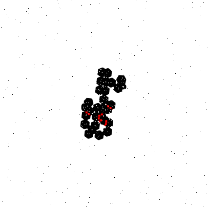 c1ccc(-c2cccc(-c3c4ccccc4c(-c4cccc(-c5cccc(-c6cccc(-c7cccc(-c8c9ccccc9c(-c9ccc(-c%10ccc(-c%11c%12ccccc%12c(-c%12cccc%13ccccc%12%13)c%12ccc(-c%13cccc%14sc%15ccccc%15c%13%14)cc%11%12)c%11ccccc%10%11)cc9-c9ccccc9)c9ccc(-c%10cccc%11oc%12ccccc%12c%10%11)cc89)c7)c6)c5)c4)c4ccc(-c5cccc6oc7ccccc7c56)cc34)c2)cc1